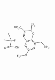 NCc1cc(OC(F)(F)F)cc2c1OC(C(F)(F)F)C(C(=O)O)=C2.O=C(O)C(F)(F)F